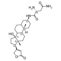 C[C@]12CC[C@H](NC(=O)[C@H](N)CC(N)=O)CC1CCC1[C@@H]2CC[C@]2(C)[C@@H](C3=CC(=O)OC3)CC[C@]12O